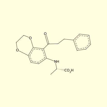 C[C@H](Nc1ccc2c(c1C(=O)CCc1ccccc1)OCCO2)C(=O)O